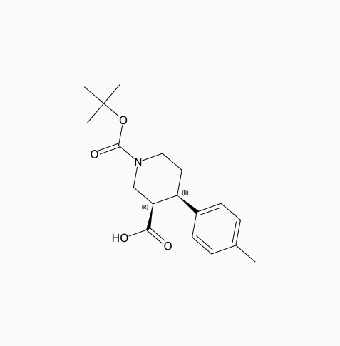 Cc1ccc([C@@H]2CCN(C(=O)OC(C)(C)C)C[C@@H]2C(=O)O)cc1